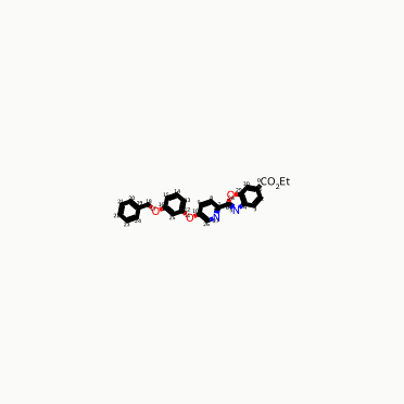 CCOC(=O)c1ccc2nc(-c3ccc(Oc4cccc(OCc5ccccc5)c4)cn3)oc2c1